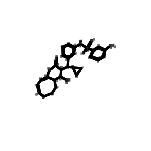 Cc1cccc(S(=O)(=O)Nc2cccc(C(C3CC3)C3C(=O)OC4=CC=CCCCC4C3O)c2)c1